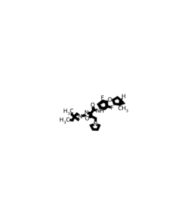 CCC1(CC)CN(c2nc(C(=O)Nc3cc(F)c(OC4C[C@@H]5C[C@@]5(C)C4)c(F)c3)c(CN3CCCC3)o2)C1